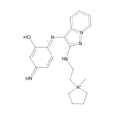 C[N+]1(CCNc2nn3ccccc3c2/N=C2\C=CC(=N)C=C2O)CCCC1